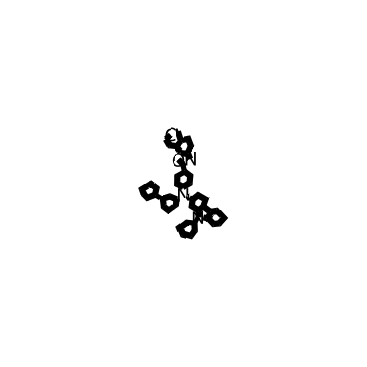 c1ccc(-c2cccc(N(c3ccc(-c4nc5ccc6ccccc6c5o4)cc3)c3ccc4c5ccccc5n(-c5ccccc5)c4c3)c2)cc1